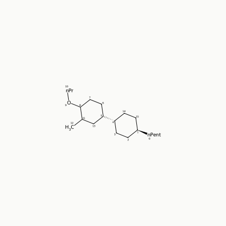 CCCCC[C@H]1CC[C@H](C2CCC(OCCC)C(C)C2)CC1